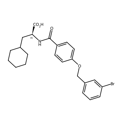 O=C(N[C@@H](CC1CCCCC1)C(=O)O)c1ccc(OCc2cccc(Br)c2)cc1